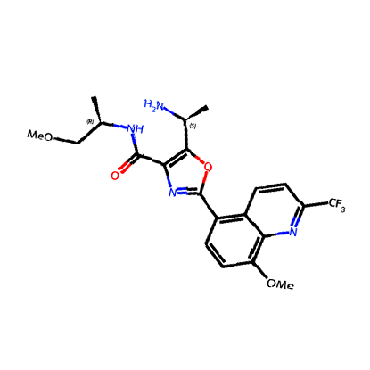 COC[C@@H](C)NC(=O)c1nc(-c2ccc(OC)c3nc(C(F)(F)F)ccc23)oc1[C@H](C)N